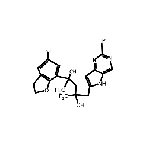 CC(C)c1ncc2[nH]c(CC(O)(CC(C)(C)c3cc(Cl)cc4c3OCC4)C(F)(F)F)cc2n1